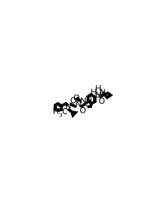 C[C@@H](C1CC1)N(Cc1ccccc1)C(=O)CN1C(=O)N[C@]2(CCc3cc(NC(=O)C4(N)CCC4)ccc32)C1=O